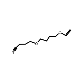 C=COCCCCOCCCC#N